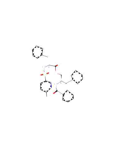 O=C(N[C@@H](COC(=O)[C@@H](Cc1ccccc1)NS(=O)(=O)c1ccc(C(F)(F)F)cc1)Cc1ccccc1)c1ccccc1